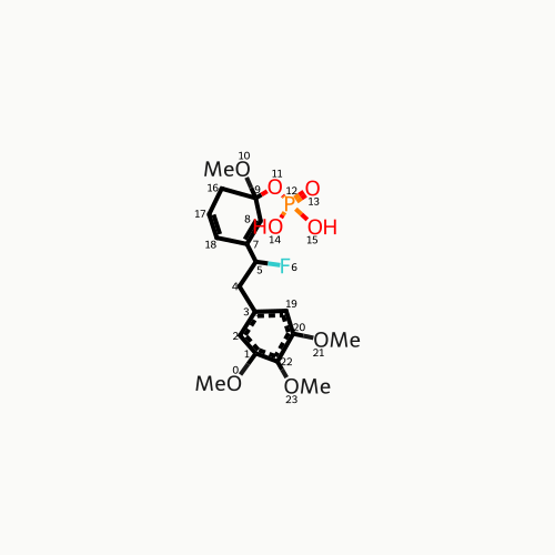 COc1cc(CC(F)C2=CC(OC)(OP(=O)(O)O)CC=C2)cc(OC)c1OC